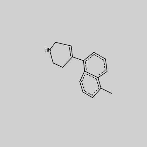 Cc1cccc2c(C3=CCNCC3)cccc12